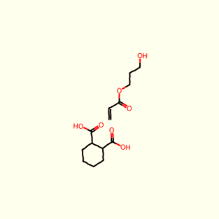 C=CC(=O)OCCCO.O=C(O)C1CCCCC1C(=O)O